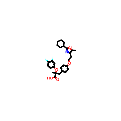 Cc1oc(C2CCCCC2)nc1CCOc1ccc(CC(C)(Oc2ccc(F)c(F)c2)C(=O)O)cc1